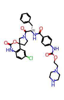 O=C(Nc1ccc(C(=O)N[C@@H](Cc2ccccc2)C(=O)N2CCC3(C2)OC(=O)Nc2ccc(Cl)cc23)cc1)OCCN1CCNCC1